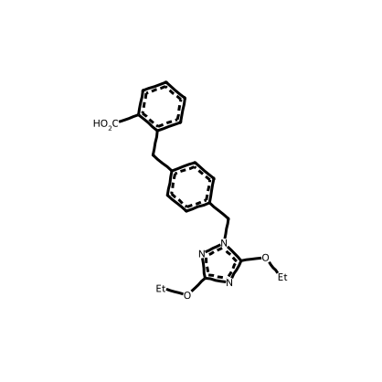 CCOc1nc(OCC)n(Cc2ccc(Cc3ccccc3C(=O)O)cc2)n1